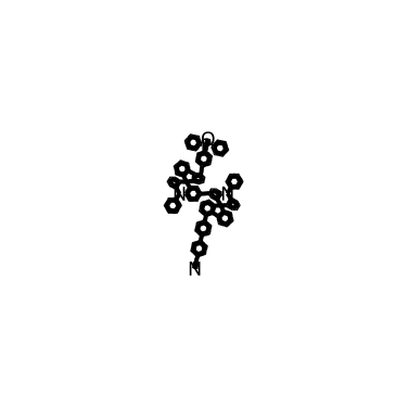 N#Cc1ccc(-c2ccc(-c3cccc4c3-c3ccccc3C43c4ccccc4N(c4ccccc4)c4ccc(-c5ccc6c(c5)C5(c7ccccc7-c7c(-c8ccc(P(=O)(c9ccccc9)c9ccccc9)cc8)cccc75)c5ccccc5N6c5ccccc5)cc43)cc2)cc1